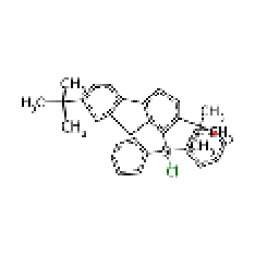 CC(C)(C)c1ccc2c(c1)Cc1c-2ccc(C(C)(C)C)c1[Si](Cl)(c1ccccc1)c1ccccc1